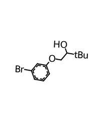 CC(C)(C)C(O)COc1cccc(Br)c1